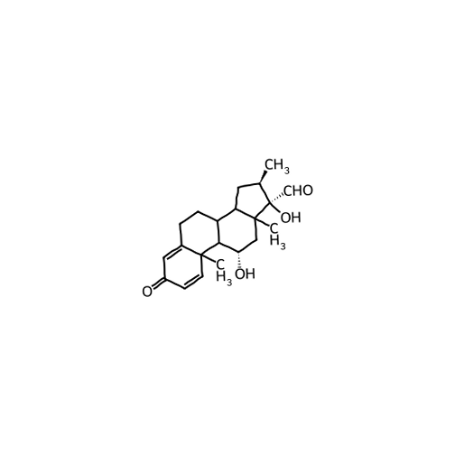 C[C@@H]1CC2C3CCC4=CC(=O)C=CC4(C)C3[C@@H](O)CC2(C)[C@@]1(O)C=O